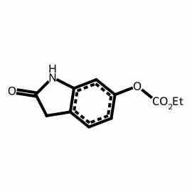 CCOC(=O)Oc1ccc2c(c1)NC(=O)C2